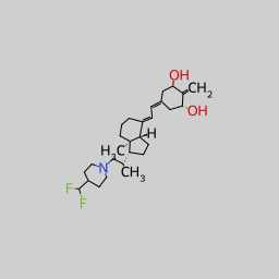 C=C1[C@H](O)CC(=CC=C2CCC[C@]3(C)[C@@H](C(C)CN4CCC(C(F)F)CC4)CC[C@@H]23)C[C@H]1O